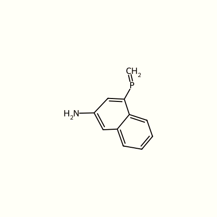 C=Pc1cc(N)cc2ccccc12